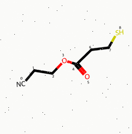 N#CCCOC(=O)CCS